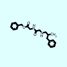 CC(CNCC(=O)NCC(=O)OCc1ccccc1)Cc1ccccc1